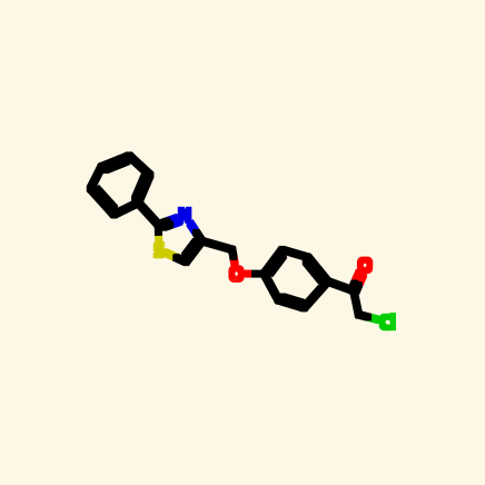 O=C(CCl)c1ccc(OCc2csc(-c3ccccc3)n2)cc1